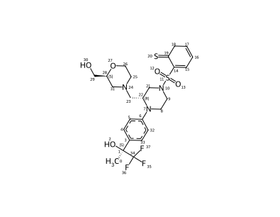 C[C@](O)(c1ccc(N2CCN(S(=O)(=O)C3=CC=CCC3=S)C[C@H]2CN2CCO[C@H](CO)C2)cc1)C(F)(F)F